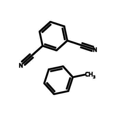 Cc1ccccc1.N#Cc1cccc(C#N)c1